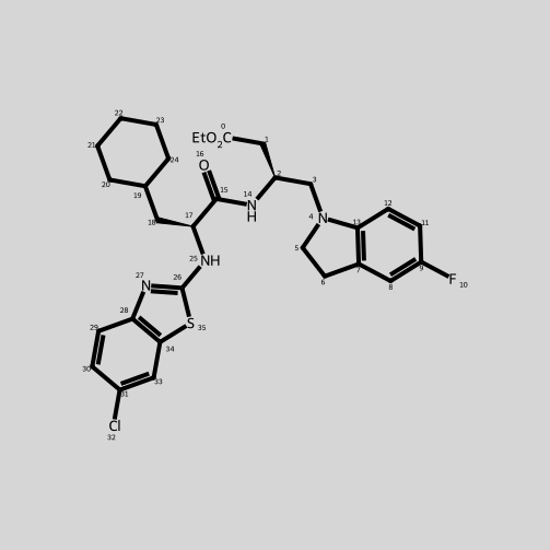 CCOC(=O)C[C@@H](CN1CCc2cc(F)ccc21)NC(=O)[C@H](CC1CCCCC1)Nc1nc2ccc(Cl)cc2s1